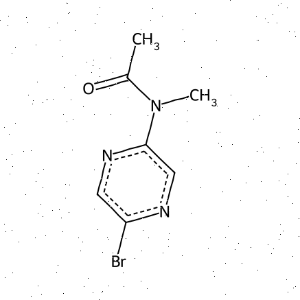 CC(=O)N(C)c1cnc(Br)cn1